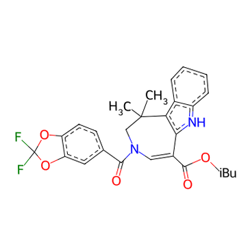 CCC(C)OC(=O)C1=CN(C(=O)c2ccc3c(c2)OC(F)(F)O3)CC(C)(C)c2c1[nH]c1ccccc21